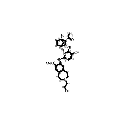 COc1cc2c(cc1Nc1ncc(Cl)c(N[C@H]3[C@@H](C(N)=O)[C@@H]4C=C[C@H]3C4)n1)CCN(CCO)CC2